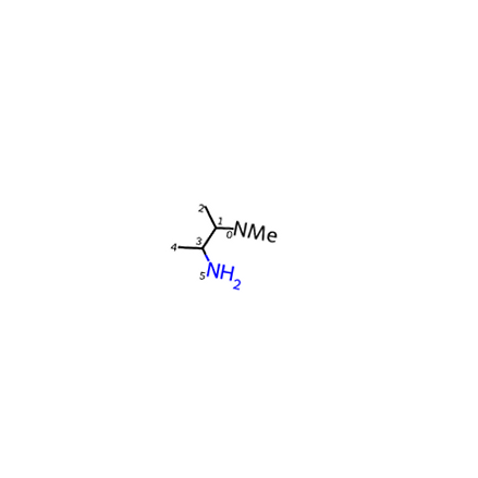 CNC(C)C(C)N